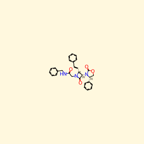 O=C(CN1C(=O)[C@@H](N2C(=O)OC[C@@H]2c2ccccc2)[C@H]1C=Cc1ccccc1)NCc1ccccc1